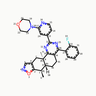 C[C@H]1c2oncc2C[C@@]2(C)c3nc(-c4ccnc(N5CCOCC5)c4)nc(-c4ccccc4F)c3CC[C@H]12